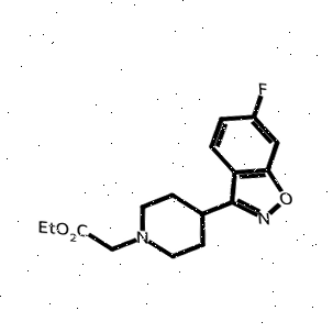 CCOC(=O)CN1CCC(c2noc3cc(F)ccc23)CC1